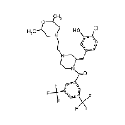 CC1CN(CCN2CCN(C(=O)c3cc(C(F)(F)F)cc(C(F)(F)F)c3)[C@H](Cc3ccc(Cl)c(O)c3)C2)CC(C)O1